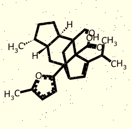 Cc1ccc(C23C[C@@H]4[C@H](C)CC[C@H]4C4(C=O)CC2C=C(C(C)C)C34C(=O)O)o1